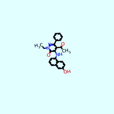 CCn1nc(-c2ccccc2)c(C(C)=O)c(Nc2cccc3cc(O)ccc23)c1=O